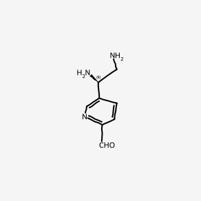 NC[C@H](N)c1ccc(C=O)nc1